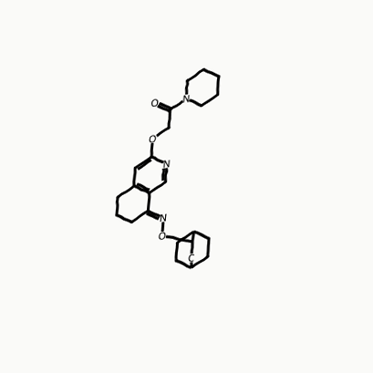 O=C(COc1cc2c(cn1)C(=NOC1CC3CCC1CC3)CCC2)N1CCCCC1